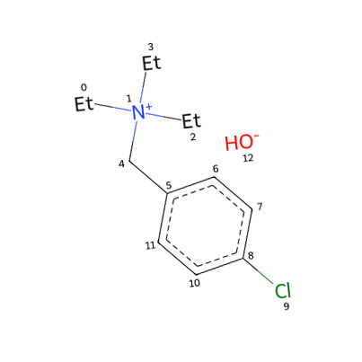 CC[N+](CC)(CC)Cc1ccc(Cl)cc1.[OH-]